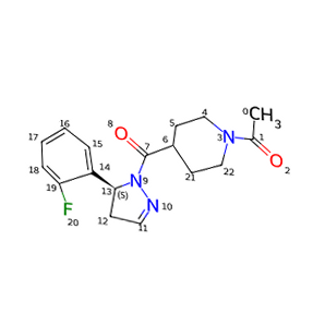 CC(=O)N1CCC(C(=O)N2N=CC[C@H]2c2ccccc2F)CC1